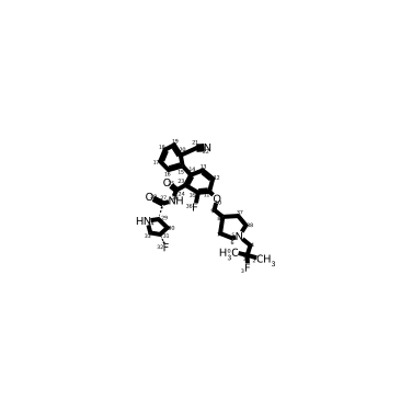 CC(C)(F)CN1CCC(COc2ccc(-c3ccccc3C#N)c(C(=O)NC(=O)[C@@H]3C[C@H](F)CN3)c2F)CC1